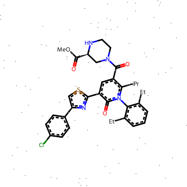 CCc1cccc(CC)c1-n1c(C(C)C)c(C(=O)N2CCN[C@H](C(=O)OC)C2)cc(-c2nc(-c3ccc(Cl)cc3)cs2)c1=O